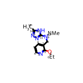 CCOc1ncccc1CN(NC)c1nnc(C)[nH]1